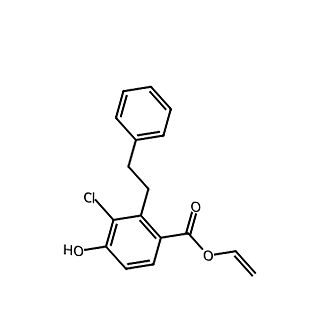 C=COC(=O)c1ccc(O)c(Cl)c1CCc1ccccc1